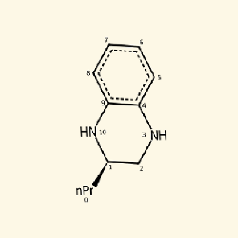 CCC[C@@H]1CNc2ccccc2N1